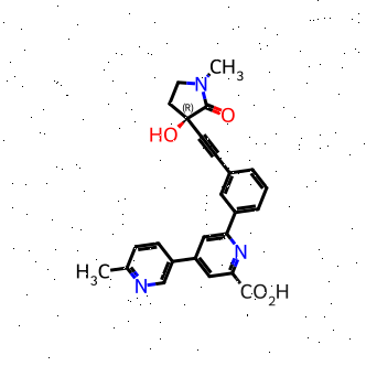 Cc1ccc(-c2cc(C(=O)O)nc(-c3cccc(C#C[C@]4(O)CCN(C)C4=O)c3)c2)cn1